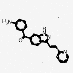 Nc1cccc(C(=O)c2ccc3c(/C=C/c4ccccn4)n[nH]c3c2)c1